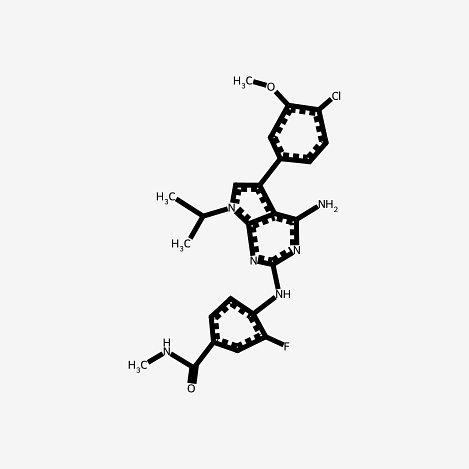 CNC(=O)c1ccc(Nc2nc(N)c3c(-c4ccc(Cl)c(OC)c4)cn(C(C)C)c3n2)c(F)c1